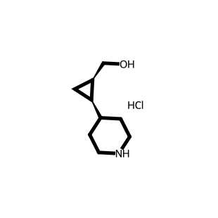 Cl.OC[C@@H]1C[C@@H]1C1CCNCC1